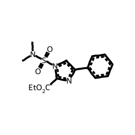 CCOC(=O)c1nc(-c2ccccc2)cn1S(=O)(=O)N(C)C